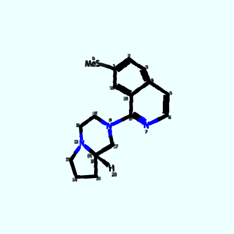 CSc1ccc2ccnc(N3CCN4CCC[C@H]4C3)c2c1